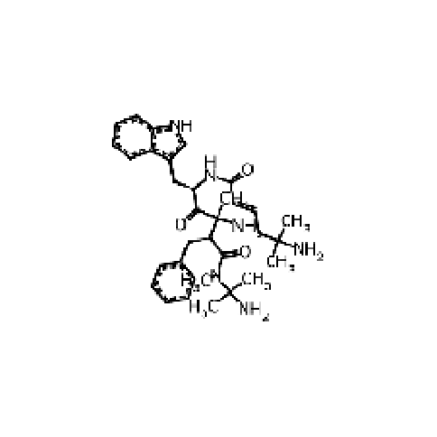 CN(C(=O)[C@@H](Cc1ccccc1)C(C)(N)C(=O)[C@@H](Cc1c[nH]c2ccccc12)NC(=O)/C=C/CC(C)(C)N)C(C)(C)N